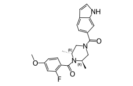 COc1ccc(C(=O)N2[C@H](C)CN(C(=O)c3ccc4cc[nH]c4c3)C[C@H]2C)c(F)c1